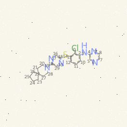 Clc1c(Nc2cnccn2)cccc1Sc1cnc(N2CCC3(CCCC3)CC2)cn1